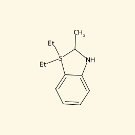 CCS1(CC)c2ccccc2NC1C